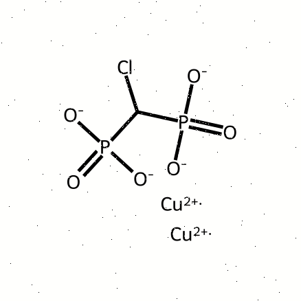 O=P([O-])([O-])C(Cl)P(=O)([O-])[O-].[Cu+2].[Cu+2]